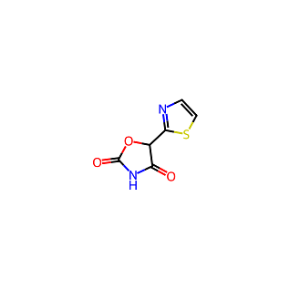 O=C1NC(=O)C(c2nccs2)O1